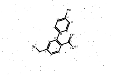 O=C(O)c1ccc(CBr)cc1-c1ccc(F)cc1